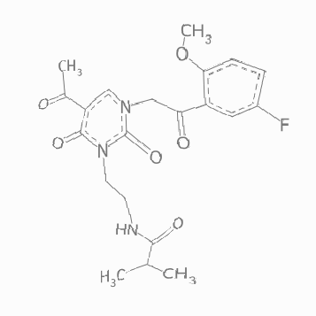 COc1ccc(F)cc1C(=O)Cn1cc(C(C)=O)c(=O)n(CCNC(=O)C(C)C)c1=O